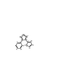 c1ccc(C2=N[N]N=C2c2cccs2)cc1